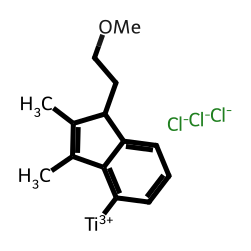 COCCC1C(C)=C(C)c2[c]([Ti+3])cccc21.[Cl-].[Cl-].[Cl-]